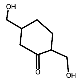 O=C1CC(CO)CCC1CO